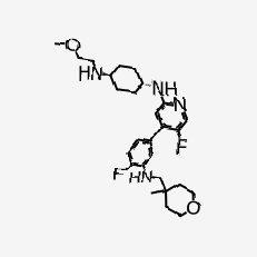 COCCN[C@H]1CC[C@H](Nc2cc(-c3ccc(F)c(NCC4(C)CCOCC4)c3)c(F)cn2)CC1